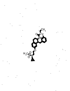 CCOC(=O)NC1CCc2ccc(OCCN(C3CC3)S(C)(=O)=O)cc2C1Cc1cccc(F)c1